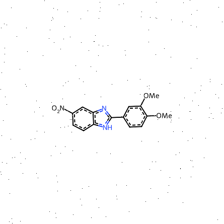 COc1ccc(-c2nc3cc([N+](=O)[O-])ccc3[nH]2)cc1OC